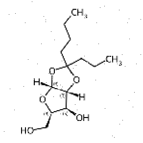 CCCCC1(CCC)O[C@H]2O[C@H](CO)[C@H](O)[C@H]2O1